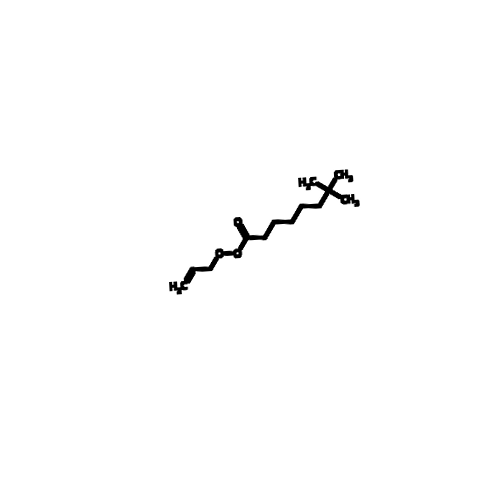 C=CCOOC(=O)CCCCCC(C)(C)C